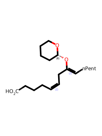 CCCCC/C=C(/C/C=C\CCCC(=O)O)O[C@@H]1CCCCO1